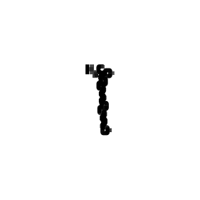 CC([O])=COOCCC=COOCC=CC[O]